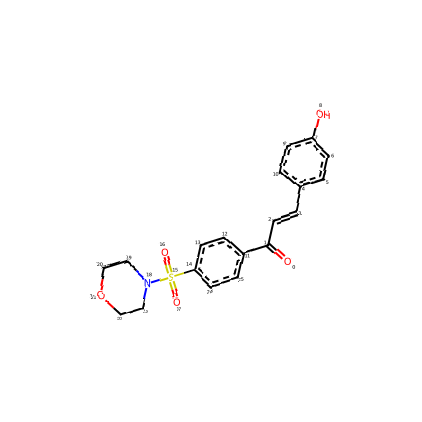 O=C(/C=C/c1ccc(O)cc1)c1ccc(S(=O)(=O)N2CCOCC2)cc1